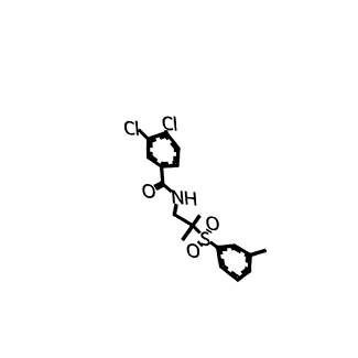 Cc1cccc(S(=O)(=O)C(C)(C)CNC(=O)c2ccc(Cl)c(Cl)c2)c1